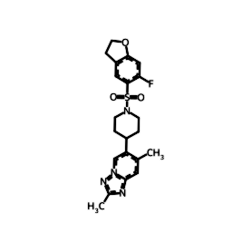 Cc1nc2cc(C)c(C3CCN(S(=O)(=O)c4cc5c(cc4F)OCC5)CC3)cn2n1